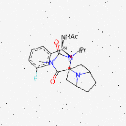 CC(=O)N[C@@H](CCN1C2CCC1CC1(C2)C(=O)N(C)C(=O)N1C(C)C)c1cccc(F)c1